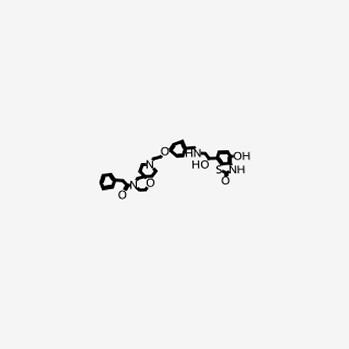 O=C(Cc1ccccc1)N1CCOC2(CCN(CCOc3ccc(CNC[C@H](O)c4ccc(O)c5[nH]c(=O)sc45)cc3)CC2)C1